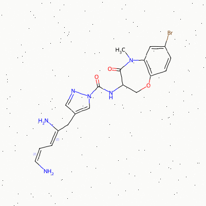 CN1C(=O)C(NC(=O)n2cc(C/C(N)=C/C=C\N)cn2)COc2ccc(Br)cc21